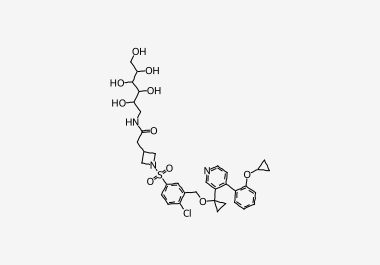 O=C(CC1CN(S(=O)(=O)c2ccc(Cl)c(COC3(c4cnccc4-c4ccccc4OC4CC4)CC3)c2)C1)NCC(O)C(O)C(O)C(O)CO